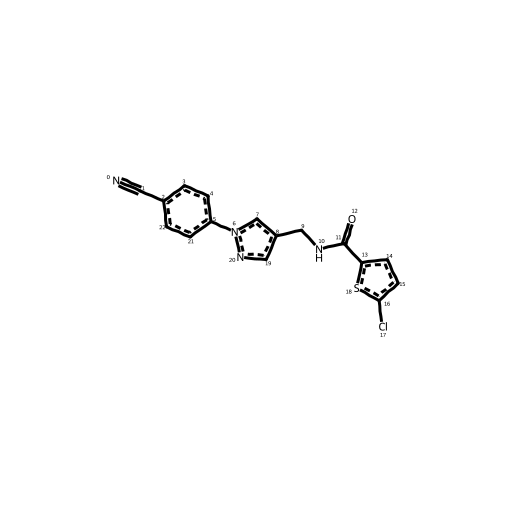 N#Cc1ccc(-n2cc(CNC(=O)c3ccc(Cl)s3)cn2)cc1